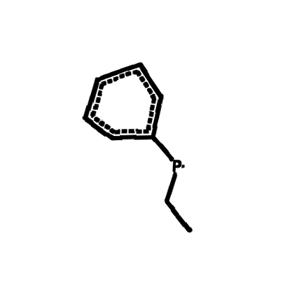 CC[P]c1ccccc1